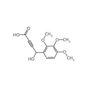 COc1ccc(C(O)C#CC(=O)O)c(OC)c1OC